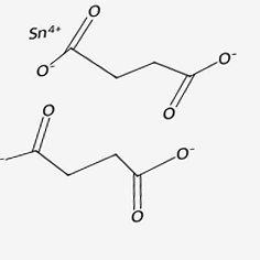 O=C([O-])CCC(=O)[O-].O=C([O-])CCC(=O)[O-].[Sn+4]